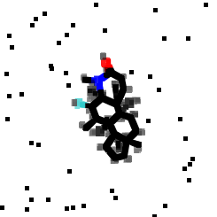 C[C@H]1[C@@H](F)[C@H]2N(C)C(=O)CC[C@]2(C)[C@H]2CC[C@]3(C)CCC[C@H]3[C@H]12